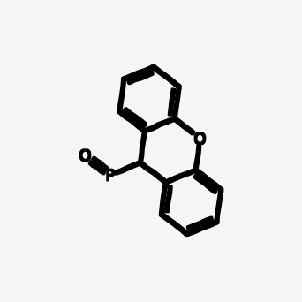 O=PC1c2ccccc2Oc2ccccc21